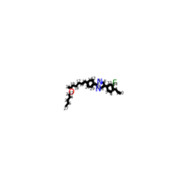 C=CCc1ccc(-c2cnc(-c3ccc(/C=C/CCCC(C)OCCCCC)cc3)nc2)cc1F